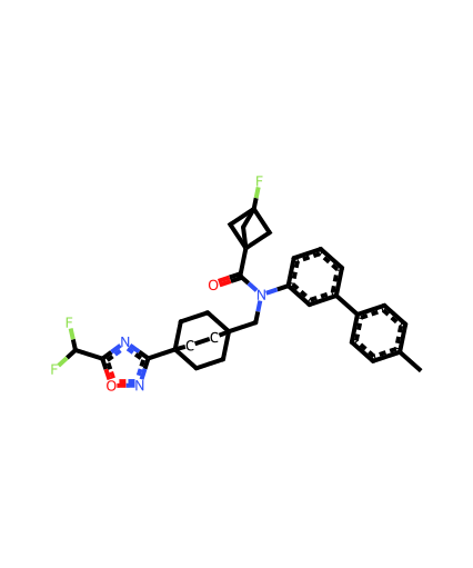 Cc1ccc(-c2cccc(N(CC34CCC(c5noc(C(F)F)n5)(CC3)CC4)C(=O)C34CC(F)(C3)C4)c2)cc1